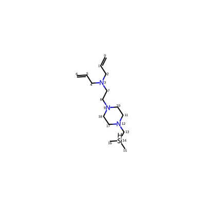 C=CCN(CC=C)CCN1CCN(C[SiH](C)C)CC1